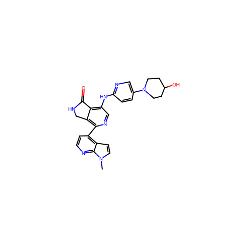 Cn1ccc2c(-c3ncc(Nc4ccc(N5CCC(O)CC5)cn4)c4c3CNC4=O)ccnc21